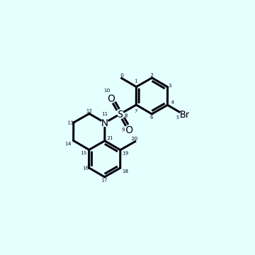 Cc1ccc(Br)cc1S(=O)(=O)N1CCCc2cccc(C)c21